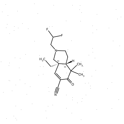 CC[C@@]12C=C(C#N)C(=O)C(C)(C)[C@H]1CCN(CC(F)F)C2